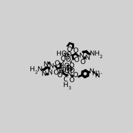 C[C@@H](NC(=O)OCc1ccc(N=[N+]=[N-])cc1)C(=O)O[C@H]1[C@@H](O)[C@H](n2cnc3c(N)ncnc32)O[C@@H]1COP(=O)(O)O[C@H]1[C@@H](OC2CCCO2)[C@H](n2ccc(N)nc2=O)O[C@@H]1COP(=O)(O)O